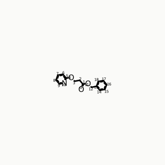 O=C(CCOc1ccccn1)OCc1ccccc1